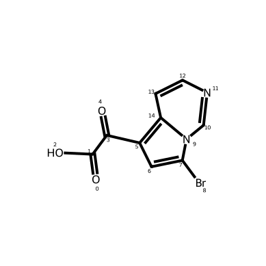 O=C(O)C(=O)c1cc(Br)n2cnccc12